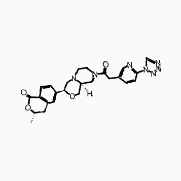 C[C@H]1Cc2cc([C@H]3CN4CCN(C(=O)Cc5ccc(-n6cnnn6)nc5)C[C@H]4CO3)ccc2C(=O)O1